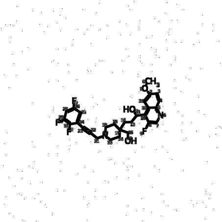 COc1ccc2ncc(F)c([C@H](O)CCC3(CO)CCN(CC#Cc4cc(F)cc(F)c4F)CC3)c2c1